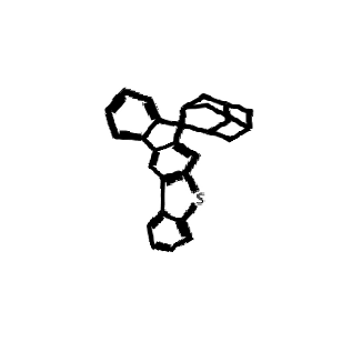 c1ccc2c(c1)-c1cc3c(cc1C21C2CC4CC(C2)CC1C4)sc1ccccc13